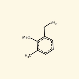 BCc1cccc(C)c1OC